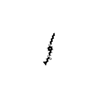 CCCCCCCCOc1ccc(C=CCOC(=O)CCC2CC2)cc1